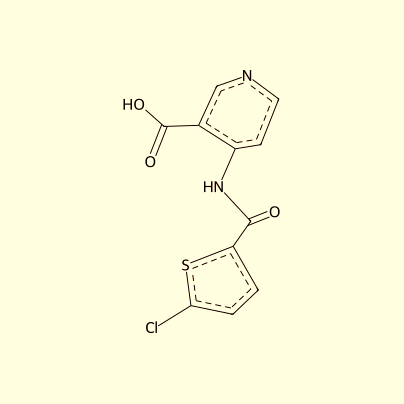 O=C(Nc1ccncc1C(=O)O)c1ccc(Cl)s1